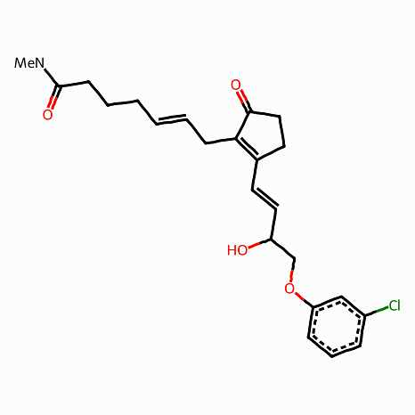 CNC(=O)CCCC=CCC1=C(C=CC(O)COc2cccc(Cl)c2)CCC1=O